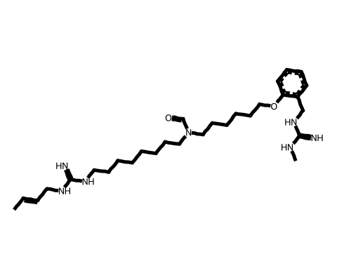 C/C=C/CNC(=N)NCCCCCCCCN(C=O)CCCCCCOc1ccccc1CNC(=N)NC